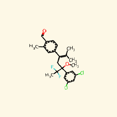 COC(CC(=C(C)C)c1ccc(C=O)c(C)c1)(c1cc(Cl)cc(Cl)c1)C(C)(F)F